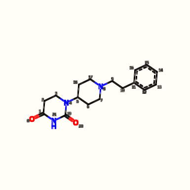 O=C1CCN(C2CCN(CCc3ccccc3)CC2)C(=O)N1